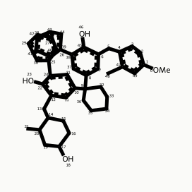 COc1ccc(Cc2cc(C3(c4cc(CC5CCC(O)CC5C)c(O)c(-c5ccccc5)c4)CCCCC3)cc(-c3ccccc3)c2O)c(C)c1